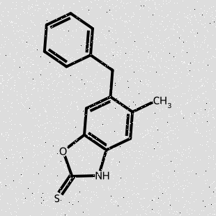 Cc1cc2[nH]c(=S)oc2cc1Cc1ccccc1